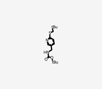 CC(C)(C)CSc1ccc(CNC(=O)OC(C)(C)C)cn1